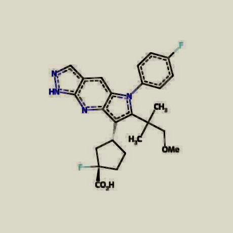 COCC(C)(C)c1c([C@@H]2CC[C@@](F)(C(=O)O)C2)c2nc3[nH]ncc3cc2n1-c1ccc(F)cc1